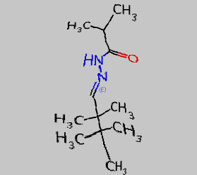 CC(C)C(=O)N/N=C/C(C)(C)C(C)(C)C